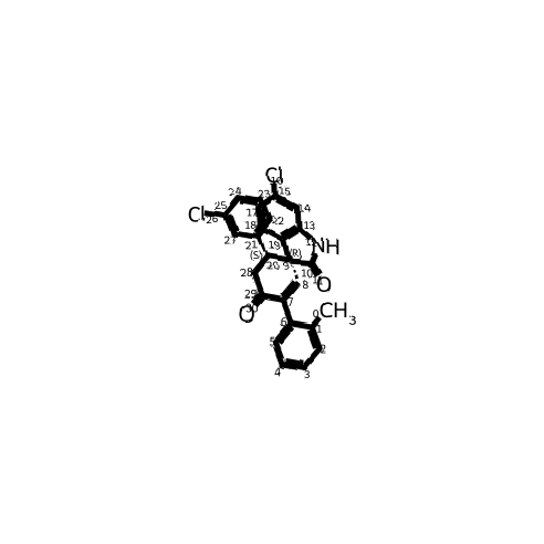 Cc1ccccc1C1=C[C@]2(C(=O)Nc3cc(Cl)ccc32)[C@H](c2cccc(Cl)c2)CC1=O